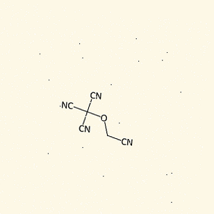 N#CCOC(C#N)(C#N)C#N